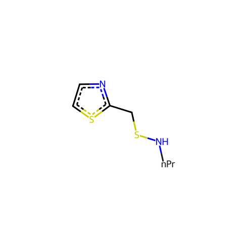 CCCNSCc1nccs1